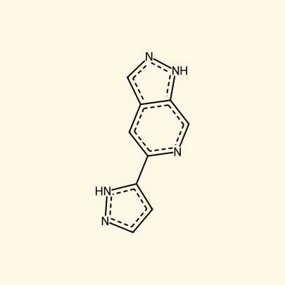 c1cc(-c2cc3cn[nH]c3cn2)[nH]n1